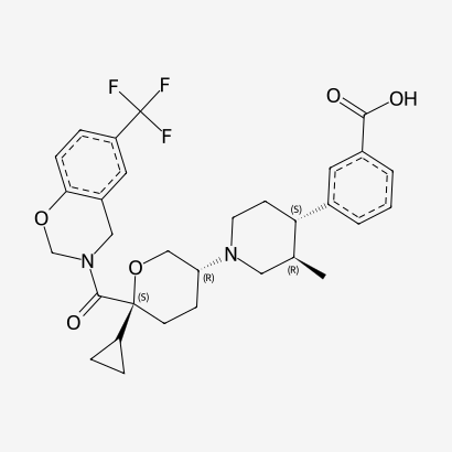 C[C@H]1CN([C@@H]2CC[C@@](C(=O)N3COc4ccc(C(F)(F)F)cc4C3)(C3CC3)OC2)CC[C@@H]1c1cccc(C(=O)O)c1